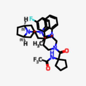 Cc1nc2ccccc2n1[C@H]1C[C@H]2CC[C@@H](C1)N2CCC1(c2cccc(F)c2)CCN(C(=O)C2(NC(=O)C(F)(F)F)CCCC2)CC1